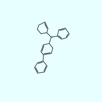 C1=CC(N(c2ccccc2)C2C=CC(c3ccccc3)=CC2)CCC1